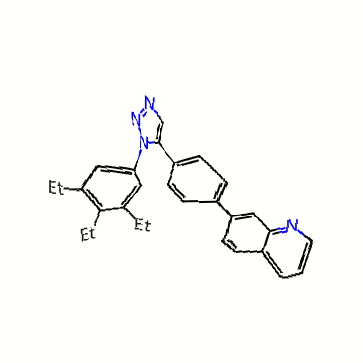 CCc1cc(-n2nncc2-c2ccc(-c3ccc4cccnc4c3)cc2)cc(CC)c1CC